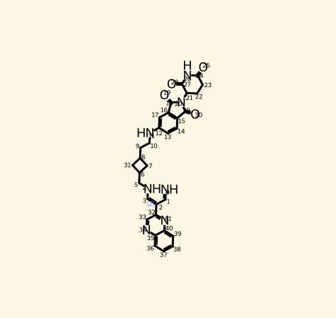 N=C/C(=C\NCC1CC(CCNc2ccc3c(c2)C(=O)N(C2CCC(=O)NC2=O)C3=O)C1)c1cnc2ccccc2n1